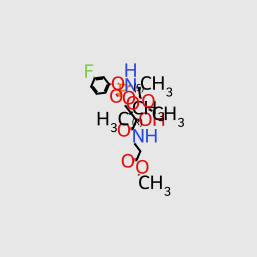 CCOC(=O)CCNC(=O)[C@H](O)C(C)(C)COP(=O)(N[C@@H](C)C(=O)OCC)Oc1cccc(F)c1